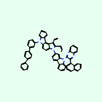 C=Cc1c(/C=C\C)n(-c2ccc3c4ccccc4n(-c4nc5ccccc5nc4-c4cccc5ccccc45)c3c2)c2ccc3c(c4ccccc4n3-c3cccc(-c4ccc(-c5ccccc5)cc4)c3)c12